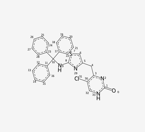 O=c1nc(Cc2csc(NC(c3ccccc3)(c3ccccc3)c3ccccc3)n2)c(Cl)c[nH]1